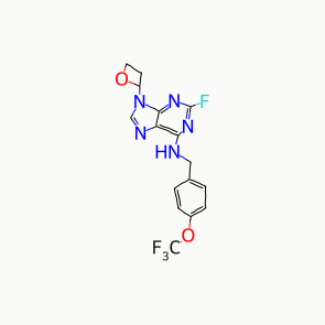 Fc1nc(NCc2ccc(OC(F)(F)F)cc2)c2ncn(C3CCO3)c2n1